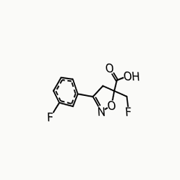 O=C(O)C1(CF)CC(c2cccc(F)c2)=NO1